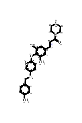 Cc1ccc(COc2ccc(Oc3c(C)cc(/C=C/C(=O)N4CCNCC4)cc3Cl)nc2)cc1